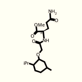 COC(=O)[C@@H](CCC(N)=O)NC(=O)COC1CC(C)CCC1C(C)C